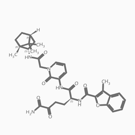 Cc1c(C(=O)N[C@@H](CCC(=O)C(N)=O)C(=O)Nc2cccn(CC(=O)N[C@H]3C[C@H]4CC[C@]3(C)C4(C)C)c2=O)oc2ccccc12